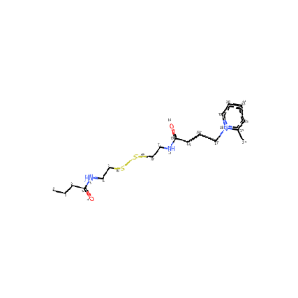 CCCC(=O)NCCSSCCNC(=O)CCC[n+]1ccccc1C